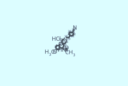 COc1ccc2c(c1)C(NC(C)=O)CC1(CCN(CCc3ccc(C#N)cc3)CC1)O2.Cl